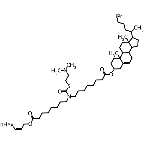 CCCCCC/C=C\COC(=O)CCCCCCCN(CCCCCCCC(=O)O[C@H]1CC[C@@]2(C)C(=CCC3C4CCC([C@H](C)CCCC(C)C)[C@@]4(C)CCC32)C1)C(=O)SCCN(C)C